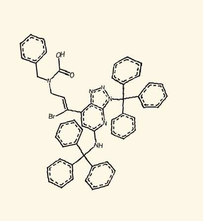 O=C(O)N(CC=C(Br)c1cc(NC(c2ccccc2)(c2ccccc2)c2ccccc2)nc2c1nnn2C(c1ccccc1)(c1ccccc1)c1ccccc1)Cc1ccccc1